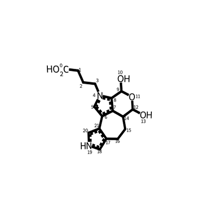 O=C(O)CCCn1cc2c3c1C(O)OC(O)C3CCc1c[nH]cc1-2